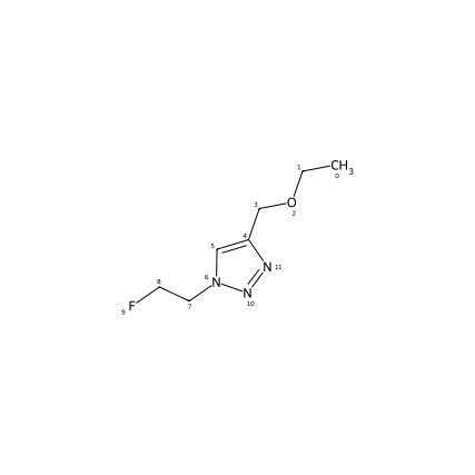 CCOCc1cn(CCF)nn1